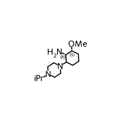 CO[C@H]1CCCC(N2CCN(C(C)C)CC2)[C@H]1N